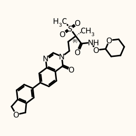 C[C@@](CCn1cnc2cc(-c3ccc4c(c3)COC4)ccc2c1=O)(C(=O)NOC1CCCCO1)S(C)(=O)=O